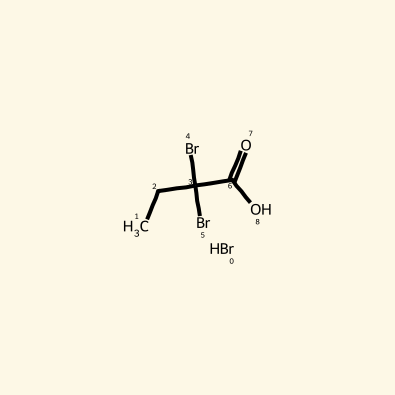 Br.CCC(Br)(Br)C(=O)O